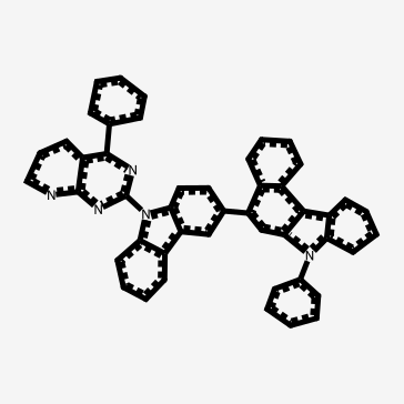 c1ccc(-c2nc(-n3c4ccccc4c4cc(-c5cc6c(c7ccccc57)c5ccccc5n6-c5ccccc5)ccc43)nc3ncccc23)cc1